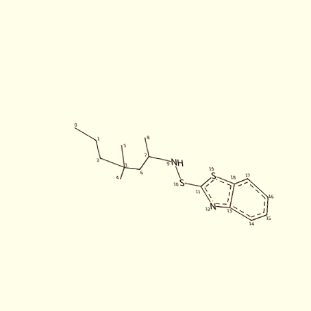 CCCC(C)(C)CC(C)NSc1nc2ccccc2s1